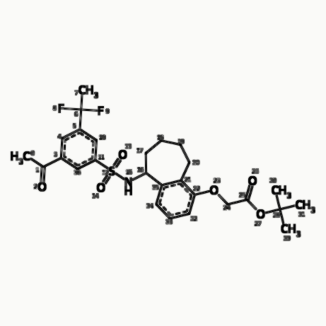 CC(=O)c1cc(C(C)(F)F)cc(S(=O)(=O)NC2CCCCc3c(OCC(=O)OC(C)(C)C)cccc32)c1